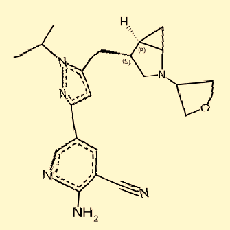 CC(C)n1nc(-c2cnc(N)c(C#N)c2)cc1C[C@@H]1CN(C2COC2)C2C[C@@H]21